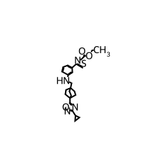 CCOC(=O)c1nc(-c2cccc(NCC34CCC(c5nc(C6CC6)no5)(CC3)CC4)c2)cs1